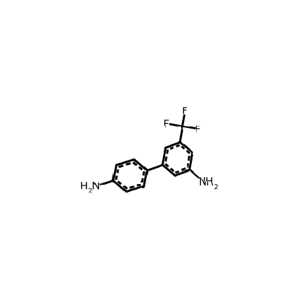 Nc1ccc(-c2cc(N)cc(C(F)(F)F)c2)cc1